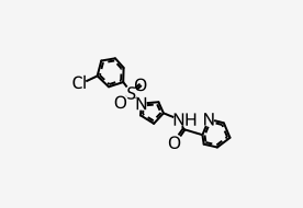 O=C(Nc1ccn(S(=O)(=O)c2cccc(Cl)c2)c1)c1ccccn1